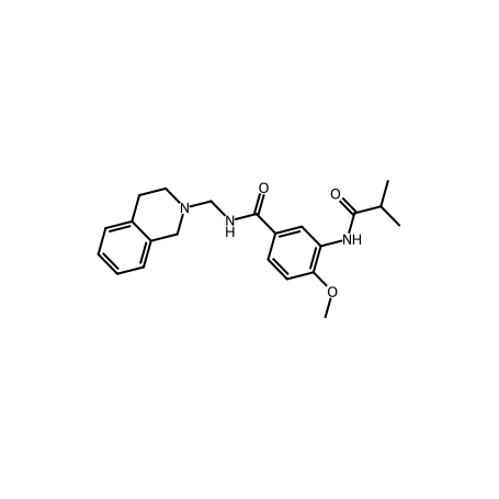 COc1ccc(C(=O)NCN2CCc3ccccc3C2)cc1NC(=O)C(C)C